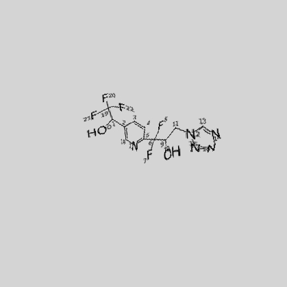 OC(c1ccc(C(F)(F)C(O)Cn2cnnn2)nc1)C(F)(F)F